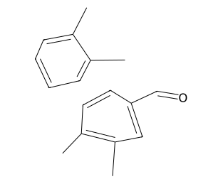 Cc1ccc(C=O)cc1C.Cc1ccccc1C